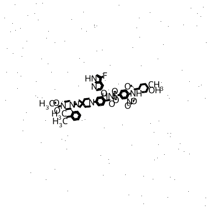 COC(=O)N1CCN(N2CC3(CCN(c4ccc(C(=O)NS(=O)(=O)c5cc6c(c([N+](=O)[O-])c5)N[C@@H]([C@H]5CC[C@](C)(O)CC5)CO6)c(Oc5cnc6[nH]cc(F)c6c5)c4)CC3)C2)[C@@H](c2ccccc2C(C)C)C1